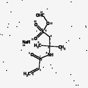 C=CC(=O)NC(C)(C)CS(=O)(=O)OC=O.[NaH]